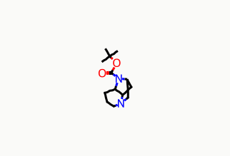 CC(C)(C)OC(=O)N1C2CC3C1CCCN3C2